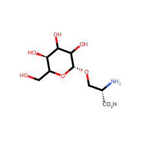 N[C@@H](CO[C@@H]1OC(CO)[C@@H](O)C(O)C1O)C(=O)O